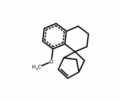 COc1cccc2c1C1(CCC2)CC2C=CC1C2